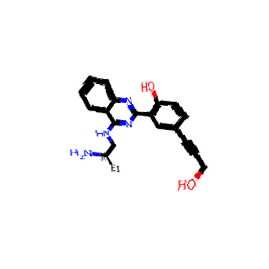 CC[C@@H](N)CNc1nc(-c2cc(C#CCO)ccc2O)nc2ccccc12